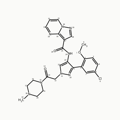 COc1ccc(Cl)cc1-c1nn(CC(=O)N2CCN(C)CC2)cc1NC(=O)c1cnn2cccnc12